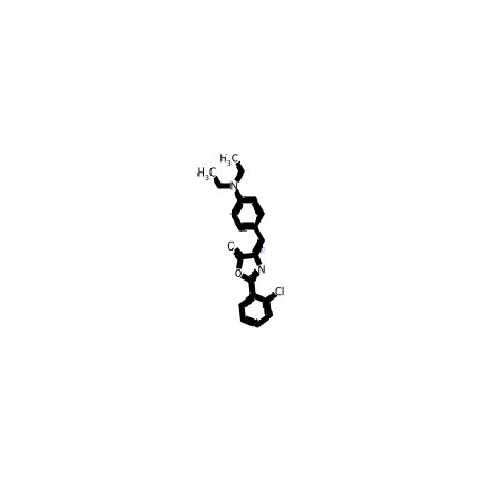 CCN(CC)c1ccc(/C=C2/N=C(c3ccccc3Cl)OC2=O)cc1